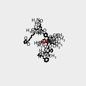 CC[C@H](C)[C@@H]([C@@H](CC(=O)N1CCC[C@H]1[C@H](OC)[C@@H](C)C(=O)N[C@@H](Cc1ccccc1)c1nccs1)OC)N(C)C(=O)[C@@H](NC(=O)[C@H](C(C)C)N(C)C(=O)OC(C(=O)N1CCN(C)CC1)c1ccc(NC(=O)[C@H](CCCNC(N)=O)NC(=O)[C@@H](NC(=O)CCCCCN2C(=O)C=CC2=O)C(C)C)cc1)C(C)C